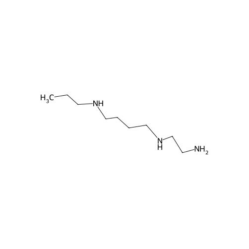 CCCNCCCCNCCN